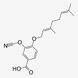 CC(C)=CCC/C(C)=C/COc1ccc(C(=O)O)cc1OC#N